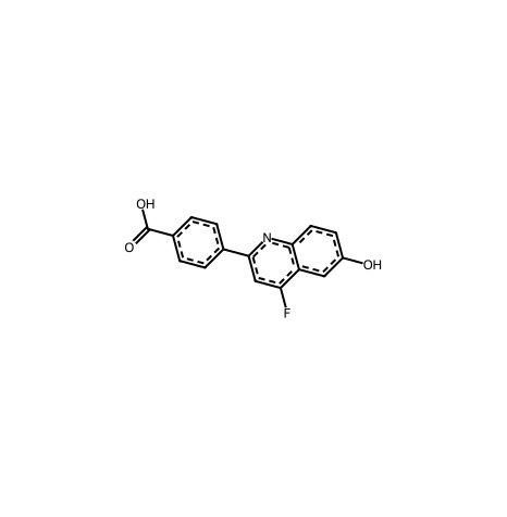 O=C(O)c1ccc(-c2cc(F)c3cc(O)ccc3n2)cc1